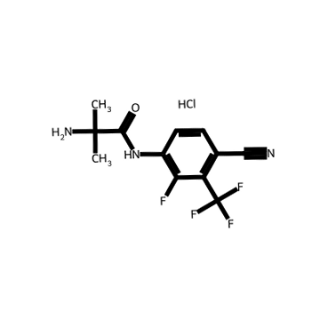 CC(C)(N)C(=O)Nc1ccc(C#N)c(C(F)(F)F)c1F.Cl